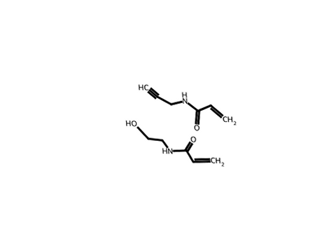 C#CCNC(=O)C=C.C=CC(=O)NCCO